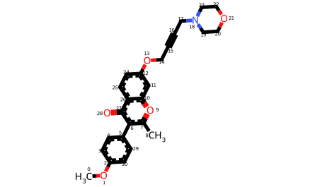 COc1ccc(-c2c(C)oc3cc(OCC#CCN4CCOCC4)ccc3c2=O)cc1